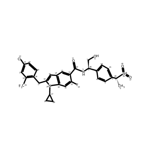 C[C@H](c1ccc([C@H](CO)NC(=O)c2cc3cc(Cc4ccc(Cl)cc4C(F)(F)F)n(C4CC4)c3cc2F)cc1)[SH](=O)=O